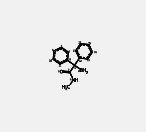 BC(C(=O)NC)(c1ccccc1)c1ccccc1